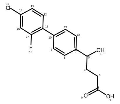 O=C(O)CCC(O)c1ccc(-c2ccc(Cl)cc2F)cc1